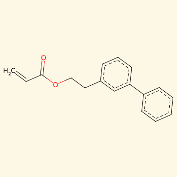 C=CC(=O)OCCc1cccc(-c2ccccc2)c1